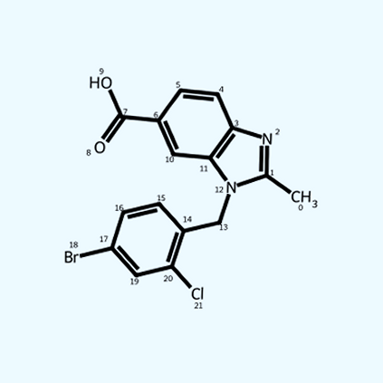 Cc1nc2ccc(C(=O)O)cc2n1Cc1ccc(Br)cc1Cl